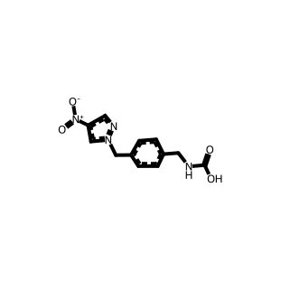 O=C(O)NCc1ccc(Cn2cc([N+](=O)[O-])cn2)cc1